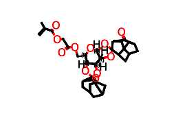 C=C(C)C(=O)OCC(=O)OC[C@H]1O[C@@H]2OC3(O[C@@H]2[C@H]2OC4(O[C@H]21)C1CC2CC(C1)C(=O)C4C2)C1CC24CC(CC2CC43)C1=O